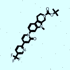 Cn1c2c(c3ccc(-n4ccc(-c5ccc(C(F)(F)F)cn5)cc4=O)cc31)CCN(C(=O)OC(C)(C)C)C2